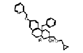 O[C@]1(COCC2CC2)CC[C@@]2(Cc3ccccc3)c3ccc(OCc4ccccn4)cc3CC[C@@H]2C1